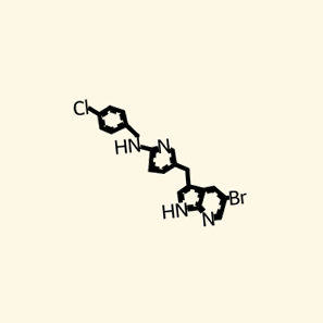 Clc1ccc(CNc2ccc(Cc3c[nH]c4ncc(Br)cc34)cn2)cc1